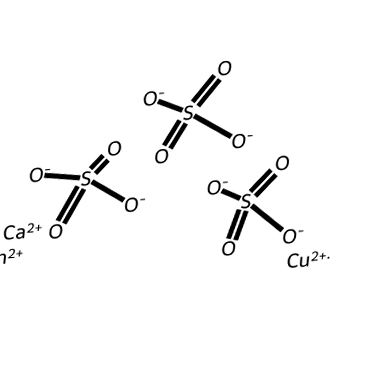 O=S(=O)([O-])[O-].O=S(=O)([O-])[O-].O=S(=O)([O-])[O-].[Ca+2].[Cu+2].[Zn+2]